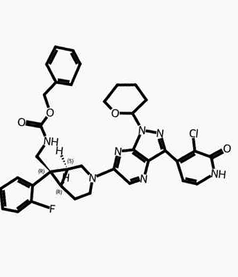 O=C(NC[C@]1(c2ccccc2F)[C@@H]2CCN(c3cnc4c(-c5cc[nH]c(=O)c5Cl)nn(C5CCCCO5)c4n3)C[C@@H]21)OCc1ccccc1